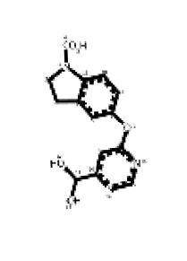 O=C(O)N1CCc2cc(Oc3cc(C(O)O)ncn3)ccc21